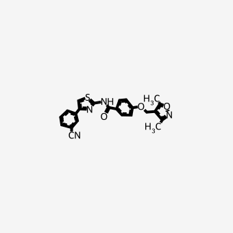 Cc1noc(C)c1COc1ccc(C(=O)Nc2nc(-c3cccc(C#N)c3)cs2)cc1